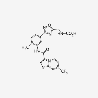 Cc1ccc(-c2noc(CNC(=O)O)n2)cc1NC(=O)c1cnc2cc(C(F)(F)F)ccn12